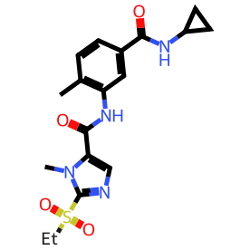 CCS(=O)(=O)c1ncc(C(=O)Nc2cc(C(=O)NC3CC3)ccc2C)n1C